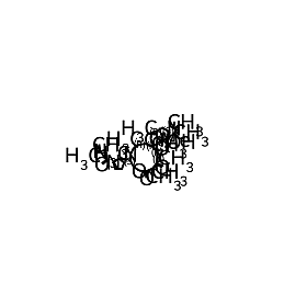 CO[C@]1(C)C[C@@H](C)CN(C)[C@@H](C2CCN(C(=O)CN(C)C)C2)COC(=O)C(C)(C)C(=O)[C@H](C)[C@H]1O[C@@H]1O[C@H](C)C[C@H](N(C)C)[C@H]1O